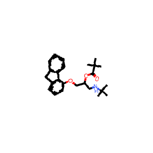 CC(C)(C)NCC(COc1cccc2c1-c1ccccc1C2)OC(=O)C(C)(C)C